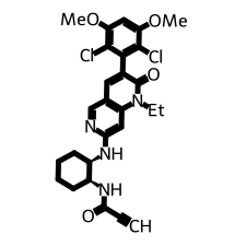 C#CC(=O)N[C@H]1CCCC[C@H]1Nc1cc2c(cn1)cc(-c1c(Cl)c(OC)cc(OC)c1Cl)c(=O)n2CC